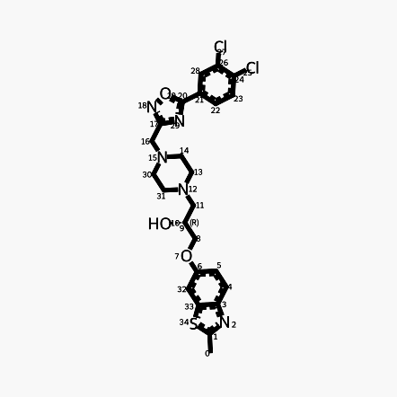 Cc1nc2ccc(OC[C@H](O)CN3CCN(Cc4noc(-c5ccc(Cl)c(Cl)c5)n4)CC3)cc2s1